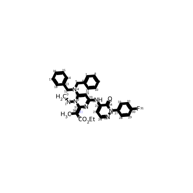 C=NN1C(N(Cc2ccccc2)Cc2ccccc2)=CC(Nc2ccnn(-c3ccc(F)cc3)c2=O)=N/C1=C(/C)C(=O)OCC